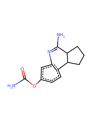 NC(=O)Oc1ccc2c(c1)N=C(N)C1CCCC21